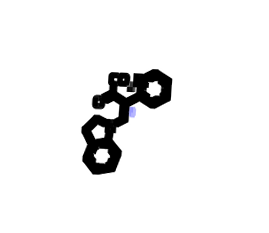 CCOC(=O)C(=O)/C(=C\N1CCc2ccccc21)c1ccccc1